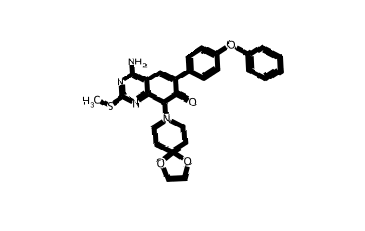 CSc1nc(N)c2c(n1)C(N1CCC3(CC1)OCCO3)C(=O)C(c1ccc(Oc3ccccc3)cc1)=C2